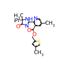 Cc1csc(COC(=O)c2cc(C)cnc2C2=NC(=O)C(C)(C(C)C)N2)c1